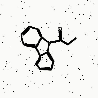 CCC(=O)n1c2ccccc2c2ccccc21